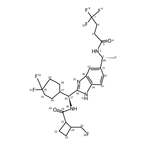 C[C@@H](NC(=O)CCC(F)(F)F)c1ccc2[nH]c([C@@H](NC(=O)C3CCC3CF)C3CCC(F)(F)CC3)nc2c1